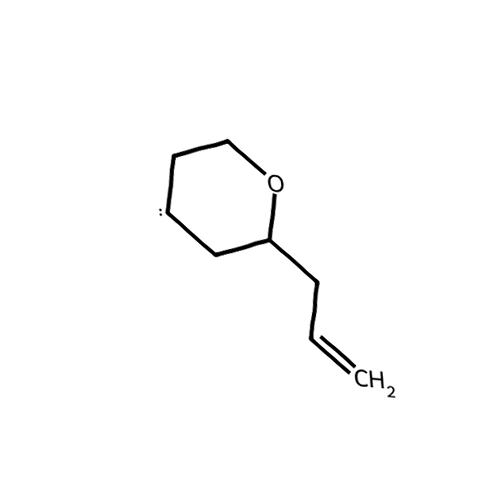 C=CCC1C[C]CCO1